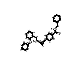 O=C(NCc1ccccc1)c1ccc(C2CC2NCc2ccccc2Oc2cnccn2)cc1